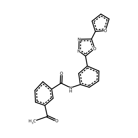 CC(=O)c1cccc(C(=O)Nc2cccc(-c3nnc(-c4ccco4)o3)c2)c1